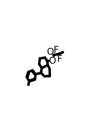 Cc1cccc(C2CCCC3C(OC(=O)C(C)(F)F)CCCC23)c1